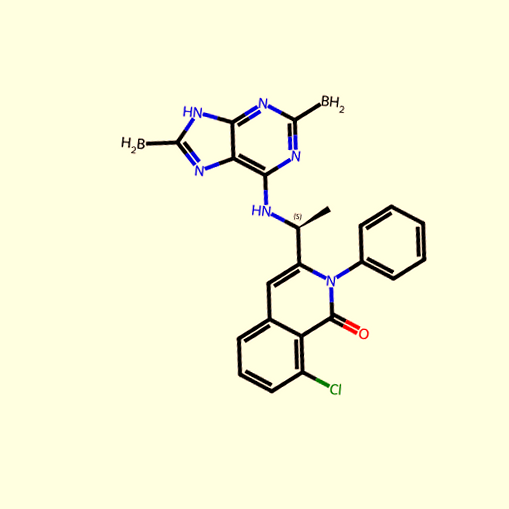 Bc1nc(N[C@@H](C)c2cc3cccc(Cl)c3c(=O)n2-c2ccccc2)c2nc(B)[nH]c2n1